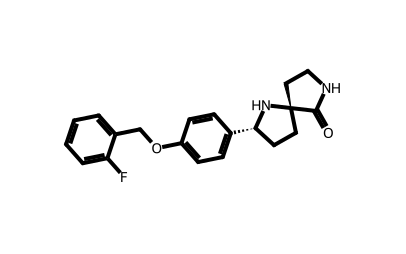 O=C1NCC[C@]12CC[C@H](c1ccc(OCc3ccccc3F)cc1)N2